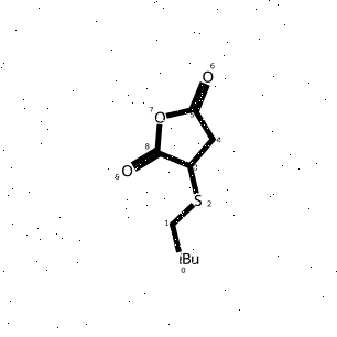 CCC(C)CSC1CC(=O)OC1=O